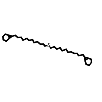 C(CCCCCCC1=C2CCCCC12)CCCCCSCCCCCCCCCCCCC1=C2CCCCC12